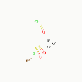 O=S.O=S.O=S.[Br-].[Cl-].[Cl-].[Li+].[Li+].[Li+]